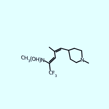 CC(=C/C1CCN(C)CC1)/C=C(\N(C)O)C(F)(F)F